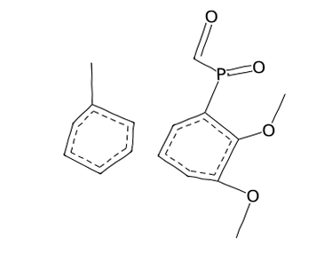 COc1cccc([P](=O)C=O)c1OC.Cc1ccccc1